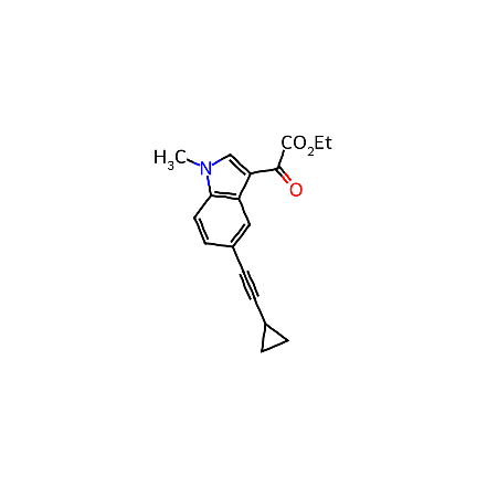 CCOC(=O)C(=O)c1cn(C)c2ccc(C#CC3CC3)cc12